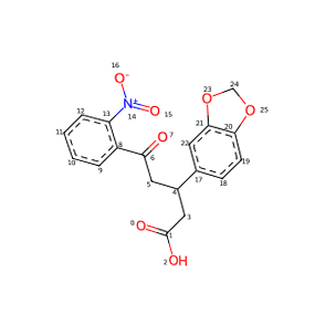 O=C(O)CC(CC(=O)c1ccccc1[N+](=O)[O-])c1ccc2c(c1)OCO2